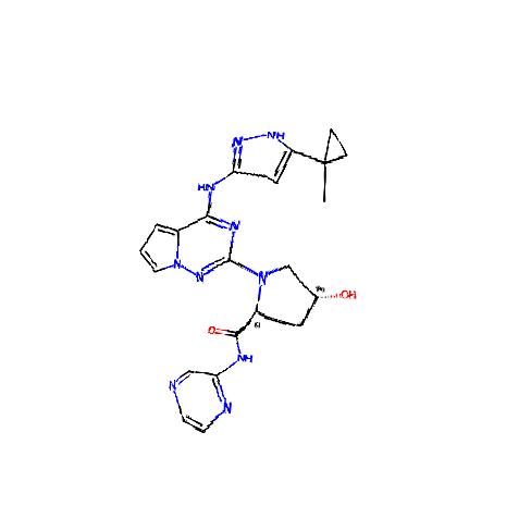 CC1(c2cc(Nc3nc(N4C[C@H](O)C[C@H]4C(=O)Nc4cnccn4)nn4cccc34)n[nH]2)CC1